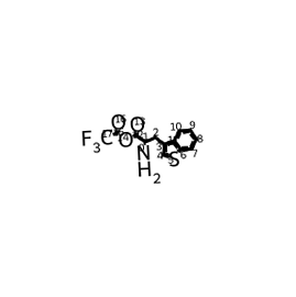 N[C@H](Cc1csc2ccccc12)C(=O)OC(=O)C(F)(F)F